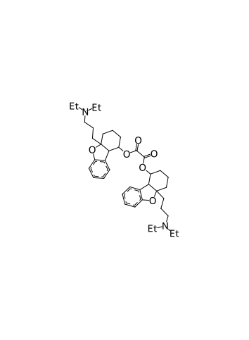 CCN(CC)CCCC12CCCC(OC(=O)C(=O)OC3CCCC4(CCCN(CC)CC)Oc5ccccc5C34)C1c1ccccc1O2